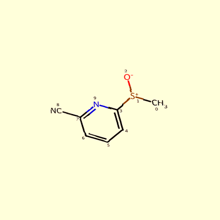 C[S+]([O-])c1cccc(C#N)n1